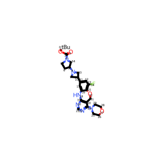 CC(C)(C)OC(=O)N1CCC(N2CC(c3cc(F)c4c(c3)Nc3ncnc(N5CCOCC5)c3CO4)C2)C1